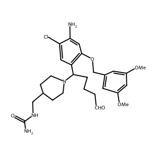 COc1cc(COc2cc(N)c(Cl)cc2C(CCCC=O)N2CCC(CNC(N)=O)CC2)cc(OC)c1